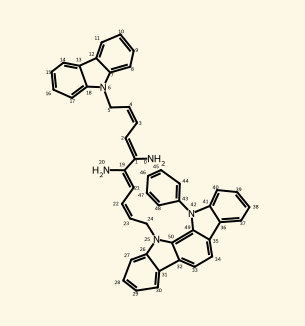 NC(=C\C=C/Cn1c2ccccc2c2ccccc21)/C(N)=C/C=C\Cn1c2ccccc2c2ccc3c4ccccc4n(-c4ccccc4)c3c21